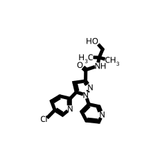 CC(C)(CO)NC(=O)c1cc(-c2ccc(Cl)cn2)n(-c2cccnc2)n1